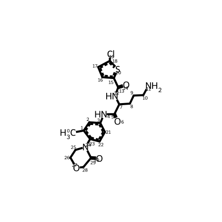 Cc1cc(NC(=O)C(CCCN)NC(=O)c2ccc(Cl)s2)ccc1N1CCOCC1=O